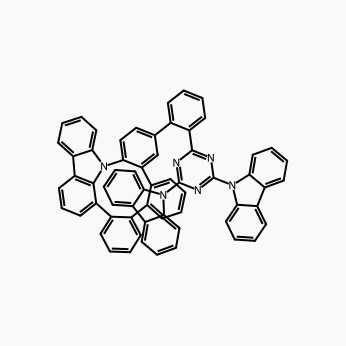 c1ccc(-c2nc(-n3c4ccccc4c4ccccc43)nc(-n3c4ccccc4c4ccccc43)n2)c(-c2ccc3c(c2)c2ccccc2c2ccccc2c2cccc4c5ccccc5n3c24)c1